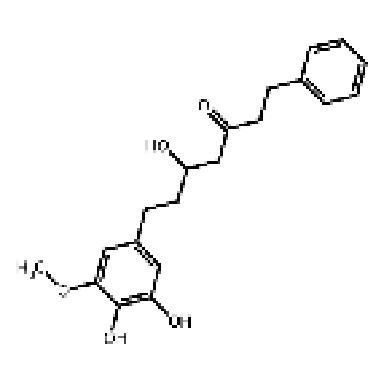 COc1cc(CCC(O)CC(=O)CCc2ccccc2)cc(O)c1O